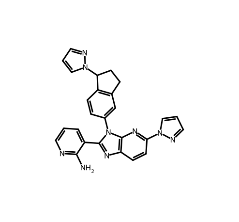 Nc1ncccc1-c1nc2ccc(-n3cccn3)nc2n1-c1ccc2c(c1)CCC2n1cccn1